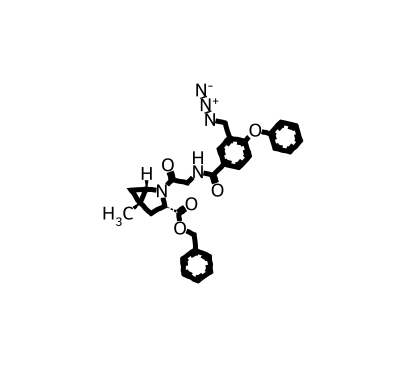 C[C@@]12C[C@@H]1N(C(=O)CNC(=O)c1ccc(Oc3ccccc3)c(CN=[N+]=[N-])c1)[C@H](C(=O)OCc1ccccc1)C2